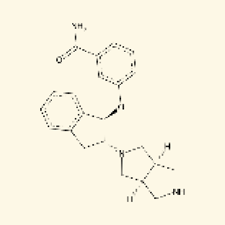 NC(=O)c1cccc(O[C@@H]2c3ccccc3C[C@H]2N2C[C@H]3CNC[C@H]3C2)c1